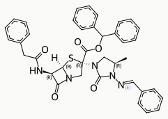 C[C@@H]1CN([C@]2(C(=O)OC(c3ccccc3)c3ccccc3)CN3C(=O)[C@@H](NC(=O)Cc4ccccc4)[C@H]3S2)C(=O)N1/N=C/c1ccccc1